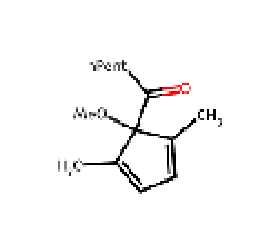 CCCCCC(=O)C1(OC)C(C)=CC=C1C